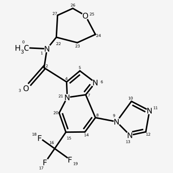 CN(C(=O)c1cnc2c(-n3cncn3)cc(C(F)(F)F)cn12)C1CCOCC1